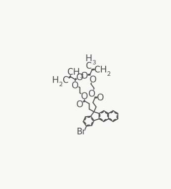 C=C(C)C(=O)OCCOC(=O)CCC1(CCC(=O)OCCOC(=O)C(=C)C)c2ccc(Br)cc2-c2cc3ccccc3cc21